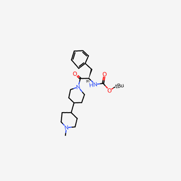 CN1CCC(C2CCN(C(=O)[C@@H](Cc3ccccc3)NC(=O)OC(C)(C)C)CC2)CC1